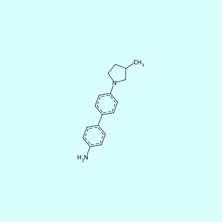 CC1CCN(c2ccc(-c3ccc(N)cc3)cc2)C1